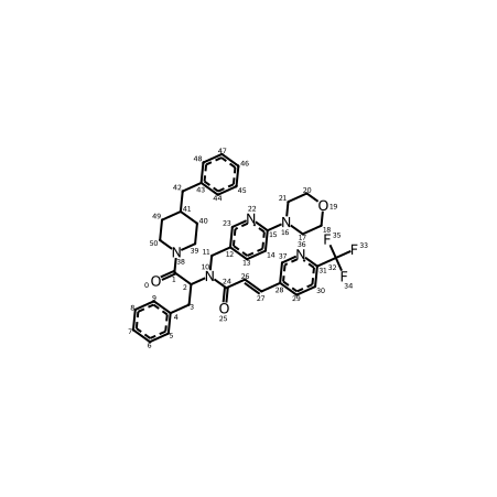 O=C(C(Cc1ccccc1)N(Cc1ccc(N2CCOCC2)nc1)C(=O)C=Cc1ccc(C(F)(F)F)nc1)N1CCC(Cc2ccccc2)CC1